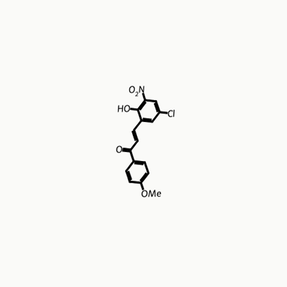 COc1ccc(C(=O)C=Cc2cc(Cl)cc([N+](=O)[O-])c2O)cc1